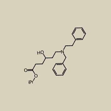 CC(C)OC(=O)CCC(O)CCN(CCc1ccccc1)Cc1ccccc1